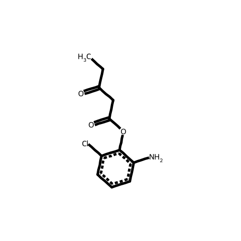 CCC(=O)CC(=O)Oc1c(N)cccc1Cl